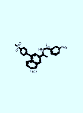 COc1cccc([C@@H](C)NC(C)c2cc(-c3ccc(S(C)(=O)=O)cc3)c3ccccc3c2)c1.Cl